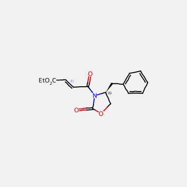 CCOC(=O)/C=C/C(=O)N1C(=O)OC[C@@H]1Cc1ccccc1